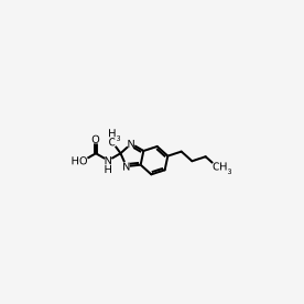 CCCCc1ccc2c(c1)=NC(C)(NC(=O)O)N=2